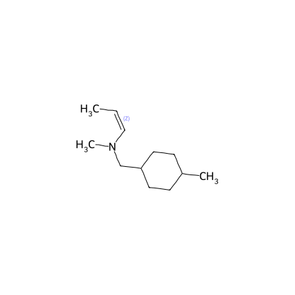 C/C=C\N(C)CC1CCC(C)CC1